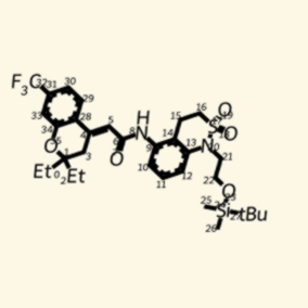 CCC1(CC)C/C(=C\C(=O)Nc2cccc3c2CCS(=O)(=O)N3CCO[Si](C)(C)C(C)(C)C)c2ccc(C(F)(F)F)cc2O1